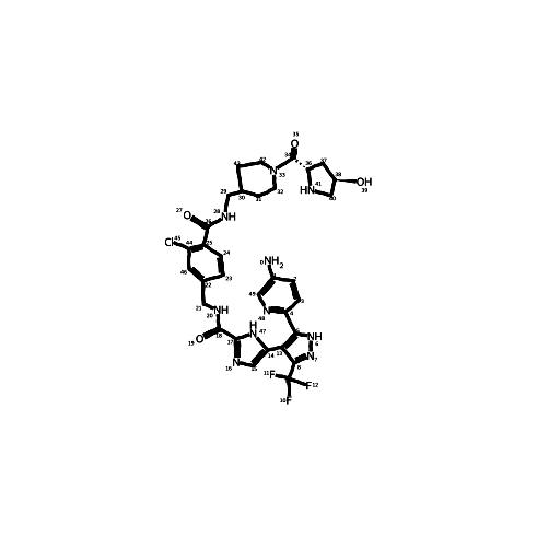 Nc1ccc(-c2[nH]nc(C(F)(F)F)c2-c2cnc(C(=O)NCc3ccc(C(=O)NCC4CCN(C(=O)[C@@H]5C[C@@H](O)CN5)CC4)c(Cl)c3)[nH]2)nc1